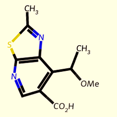 COC(C)c1c(C(=O)O)cnc2sc(C)nc12